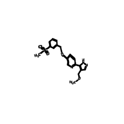 COCc1cn[nH]c1-c1ccc(OCc2cccc(S(C)(=O)=O)c2)cn1